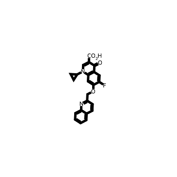 O=C(O)c1cn(C2CC2)c2cc(OCc3ccc4ccccc4n3)c(F)cc2c1=O